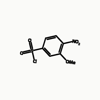 COc1cc(S(=O)(=O)Cl)ccc1[N+](=O)[O-]